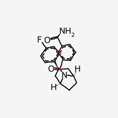 NC(=O)c1cccc(C(=O)N2[C@@H]3CC[C@H]2C[C@@H](c2ccc(F)cc2)C3)c1